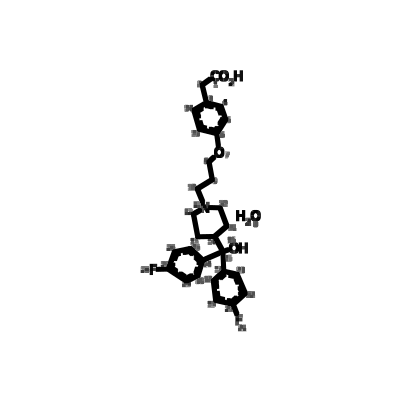 O.O=C(O)Cc1ccc(OCCCN2CCC(C(O)(c3ccc(F)cc3)c3ccc(F)cc3)CC2)cc1